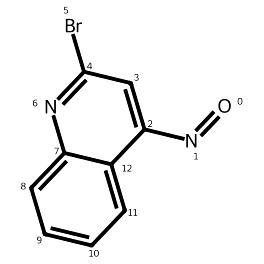 O=Nc1cc(Br)nc2ccccc12